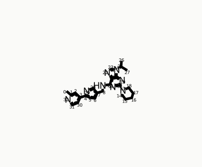 Cc1cc(-c2ccc(CNc3nc(N4CCCCC4)nc4c3ncn4C(C)C)cn2)ccn1